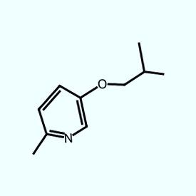 Cc1ccc(OCC(C)C)cn1